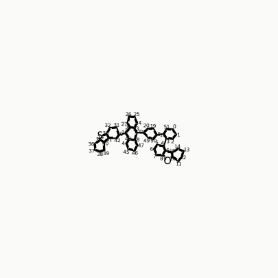 c1ccc(-c2cccc3oc4ccccc4c23)c(-c2ccc(-c3c4ccccc4c(-c4ccc5sc6ccccc6c5c4)c4ccccc34)cc2)c1